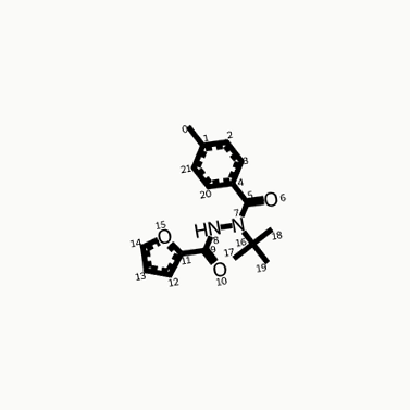 Cc1ccc(C(=O)N(NC(=O)c2ccco2)C(C)(C)C)cc1